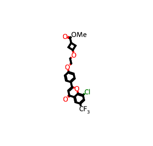 COC(=O)C1CC(OCCOc2ccc(-c3cc(=O)c4cc(C(F)(F)F)cc(Cl)c4o3)cc2)C1